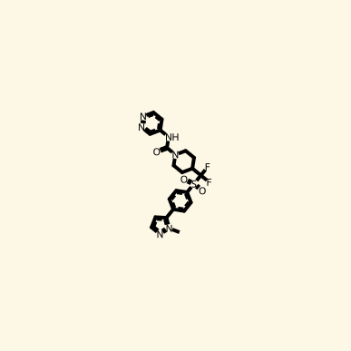 Cn1nccc1-c1ccc(S(=O)(=O)C(F)(F)C2CCN(C(=O)Nc3ccnnc3)CC2)cc1